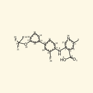 Cc1cc(C(=O)O)c(Nc2ccc(-c3cccc(OC(F)(F)F)c3)cc2F)cn1